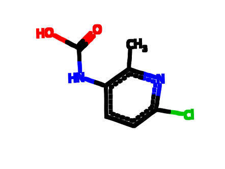 Cc1nc(Cl)ccc1NC(=O)O